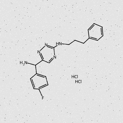 Cl.Cl.NC(c1ccc(F)cc1)c1cnc(NCCCc2ccccc2)nn1